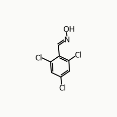 ON=Cc1c(Cl)cc(Cl)cc1Cl